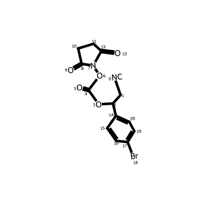 [C-]#[N+]CC(OC(=O)ON1C(=O)CCC1=O)c1ccc(Br)cc1